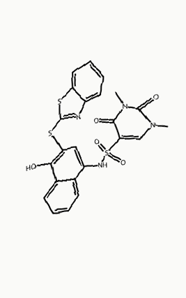 Cn1cc(S(=O)(=O)Nc2cc(Sc3nc4ccccc4s3)c(O)c3ccccc23)c(=O)n(C)c1=O